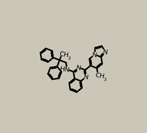 Cc1cc2nccn2cc1-c1nc(NCC(C)(c2ccccc2)c2ccccc2)c2ccccc2n1